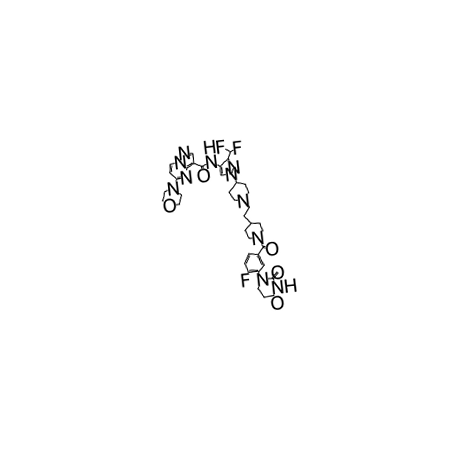 O=C1CCN(c2cc(C(=O)N3CCC(CCN4CCC(n5cc(NC(=O)c6cnn7ccc(N8CCOCC8)nc67)c(C(F)F)n5)CC4)CC3)ccc2F)C(=O)N1